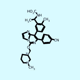 Cc1ccc(-c2c(-c3ccc(C#N)cc3)nc(OC[C@@H]3CCCN(C)C3)n3ccnc23)cc1C(C)NC(=O)O